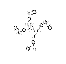 O=C(CCN(CCC(=O)Nc1ccc(-c2nnc(S)n2Cc2ccccc2)cc1)CCN(CCC(=O)Nc1ccc(-c2nnc(S)n2Cc2ccccc2)cc1)CCC(=O)Nc1ccc(-c2nnc(S)n2Cc2ccccc2)cc1)Nc1ccc(-c2nnc(S)n2Cc2ccccc2)cc1